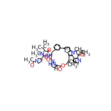 CCn1c(-c2cccnc2[C@H](C)OC)c2c3cc(ccc31)-c1cccc(c1)C[C@H](NC(=O)C(C(C)C)N(C)C(=O)[C@H]1CCN(C(C)=O)C1)C(=O)N1CCC[C@H](N1)C(=O)OCC(C)(C)C2